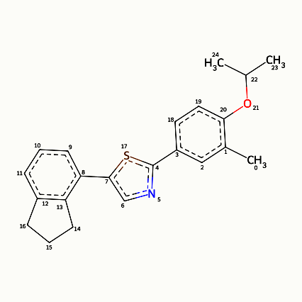 Cc1cc(-c2ncc(-c3cccc4c3CCC4)s2)ccc1OC(C)C